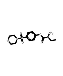 CCN(N)C(=O)Oc1ccc(S(=O)(=O)N2CCOCC2)cc1